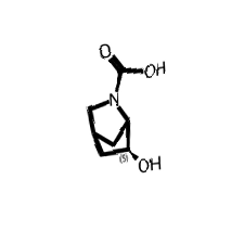 O=C(O)N1CC2CC1[C@@H](O)C2